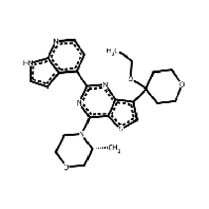 CCOC1(c2csc3c(N4CCOC[C@H]4C)nc(-c4ccnc5[nH]ccc45)nc23)CCOCC1